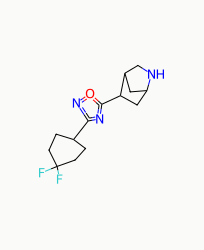 FC1(F)CCC(c2noc(C3CC4CC3CN4)n2)CC1